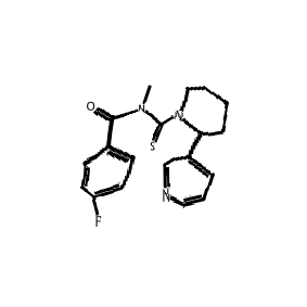 CN(C(=O)c1ccc(F)cc1)C(=S)N1CCCCC1c1cccnc1